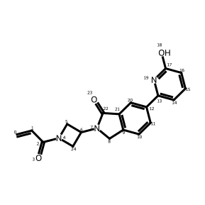 C=CC(=O)N1CC(N2Cc3ccc(-c4cccc(O)n4)cc3C2=O)C1